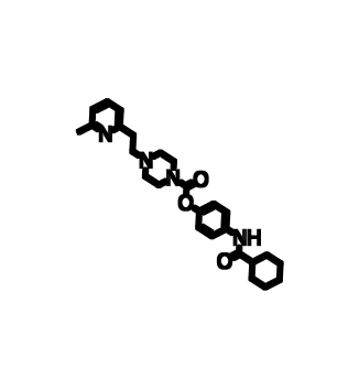 Cc1cccc(CCN2CCN(C(=O)Oc3ccc(NC(=O)C4CCCCC4)cc3)CC2)n1